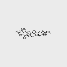 Cc1nc2cc(C3=CCC4[C@]3(C)CC=C3C=C5[C@@H](O)[C@H](O)[C@@H](N(C)C)C[C@]56CC[C@@]34O6)ccc2[nH]1